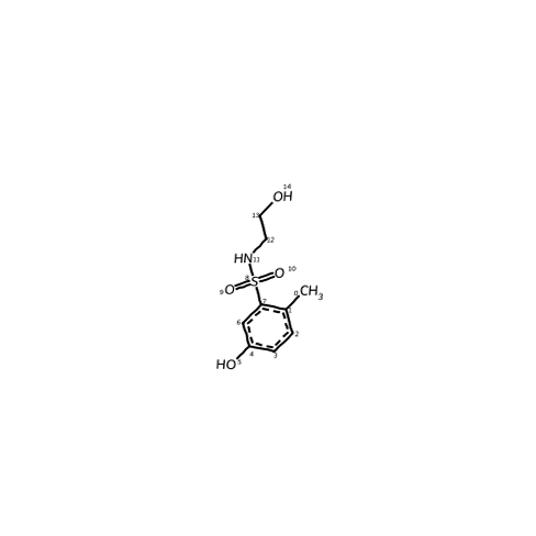 Cc1ccc(O)cc1S(=O)(=O)NCCO